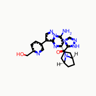 Nc1cc([C@@H]2C[C@H]3CC[C@@H](C2)N3C(=O)c2ncn[nH]2)nc2c(-c3ccc(CO)nc3)cnn12